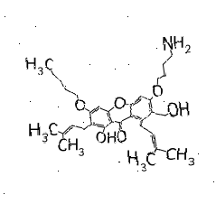 CCCCCOc1cc2oc3cc(OCCCCN)c(CO)c(CC=C(C)C)c3c(=O)c2c(O)c1CC=C(C)C